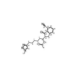 CC(=O)OC(CCCCCc1cn(C)nn1)C1Cc2cccc(C#N)c2C1=O